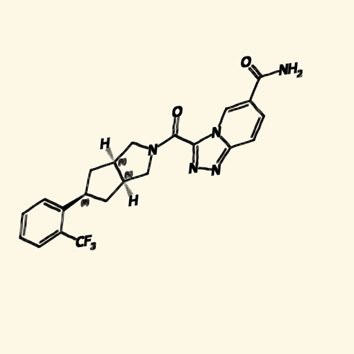 NC(=O)c1ccc2nnc(C(=O)N3C[C@H]4C[C@@H](c5ccccc5C(F)(F)F)C[C@H]4C3)n2c1